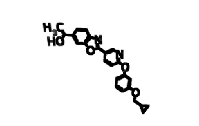 CC(O)c1ccc2nc(-c3ccc(Oc4cccc(OCC5CC5)c4)nc3)oc2c1